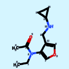 CCN(C(C)=O)c1cocc1CNC1CC1